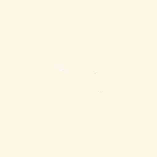 COc1cc(C(C)C)c2c(c1OC)S(=O)(=O)N(CCl)C2=O